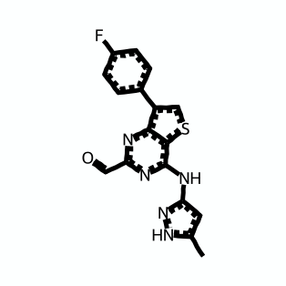 Cc1cc(Nc2nc(C=O)nc3c(-c4ccc(F)cc4)csc23)n[nH]1